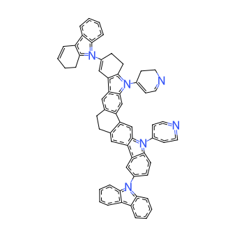 C1=Cc2c(n(C3=Cc4c(n(C5=CC=NCC5)c5cc6c(cc45)CCc4cc5c7cc(-n8c9ccccc9c9ccccc98)ccc7n(-c7ccncc7)c5cc4-6)CC3)c3ccccc23)CC1